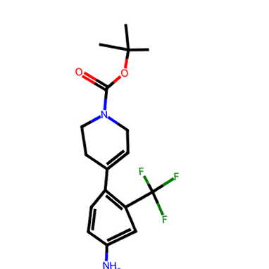 CC(C)(C)OC(=O)N1CC=C(c2ccc(N)cc2C(F)(F)F)CC1